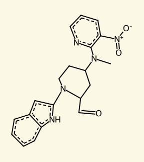 CN(c1ncccc1[N+](=O)[O-])C1CCN(c2cc3ccccc3[nH]2)C(C=O)C1